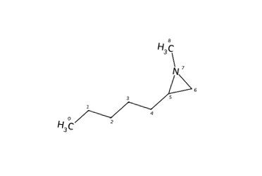 CCCCCC1CN1C